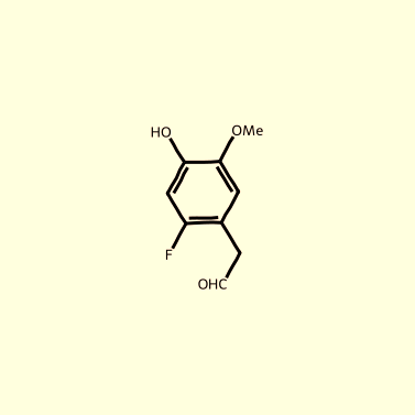 COc1cc(CC=O)c(F)cc1O